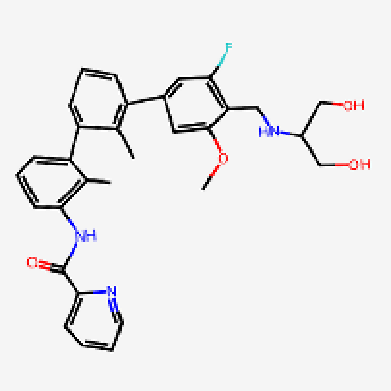 COc1cc(-c2cccc(-c3cccc(NC(=O)c4ccccn4)c3C)c2C)cc(F)c1CNC(CO)CO